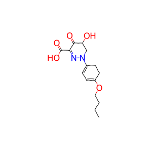 CCCCOC1=CC=C(N2CC(O)C(=O)C(C(=O)O)=N2)CC1